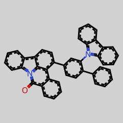 O=c1c2ccccc2c2c(-c3ccc(-c4ccccc4)c(-n4c5ccccc5c5ccccc54)c3)ccc3c4ccccc4n1c32